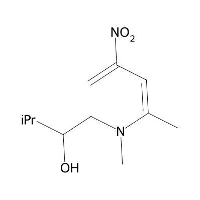 C=C(/C=C(/C)N(C)CC(O)C(C)C)[N+](=O)[O-]